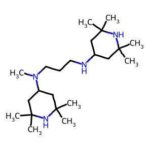 CN(CCCNC1CC(C)(C)NC(C)(C)C1)C1CC(C)(C)NC(C)(C)C1